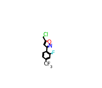 Fc1cc(C(F)(F)F)ccc1-c1cc(CCl)on1